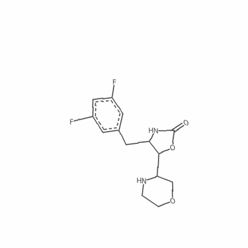 O=C1NC(Cc2cc(F)cc(F)c2)C(C2COCCN2)O1